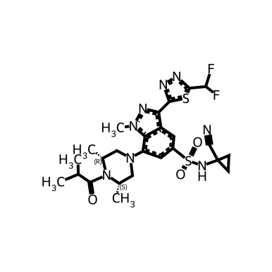 CC(C)C(=O)N1[C@H](C)CN(c2cc(S(=O)(=O)NC3(C#N)CC3)cc3c(-c4nnc(C(F)F)s4)nn(C)c23)C[C@@H]1C